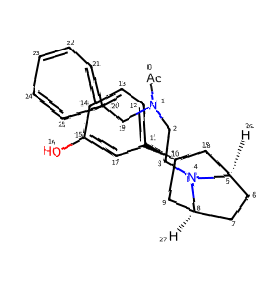 CC(=O)N(CCN1[C@@H]2CC[C@H]1C[C@@H](c1cccc(O)c1)C2)Cc1ccccc1